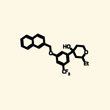 CCC1CC(O)(c2cc(OCc3ccc4ccccc4c3)cc(C(F)(F)F)c2)CCO1